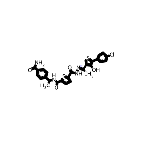 C/C(=N\NC(=O)c1ccc(C(=O)NC(C)c2ccc(C(N)=O)cc2)s1)c1csc(-c2ccc(Cl)cc2)c1O